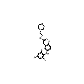 O=C(Cc1cc(Nc2c(Cl)cc(Cl)cc2Cl)ccc1F)NCCN1CCOCC1